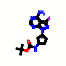 CC(C)(C)OC(=O)NC1CC[C@H](n2nc(I)c3c(N)ncnc32)C1